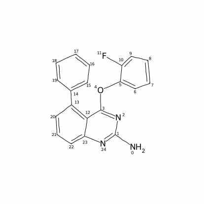 Nc1nc(Oc2ccccc2F)c2c(-c3ccccc3)cccc2n1